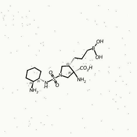 N[C@H]1CCCC[C@@H]1NS(=O)(=O)N1C[C@H](CCCB(O)O)[C@](N)(C(=O)O)C1